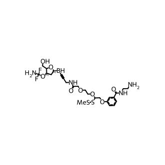 CSSC(COc1cccc(C(=O)NCCN)c1)OCCOCC(=O)NCC#CB[C@H]1C[C@@H](OC(N)(F)F)C(CO)O1